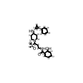 CS(=O)(=O)C(CCNC(=O)c1ccccc1O)N1CCC(N[C@@H]2C[C@H]2c2ccccc2)CC1